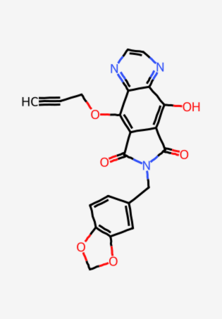 C#CCOc1c2c(c(O)c3nccnc13)C(=O)N(Cc1ccc3c(c1)OCO3)C2=O